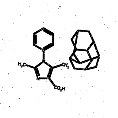 C1C2CC3C4CC5CC(C14)C(C2)C3C5.Cc1nc(C(=O)O)c(C)n1-c1ccccc1